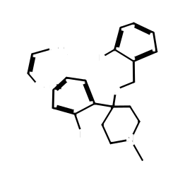 CN1CCC(SCc2ccccc2F)(c2ccccc2F)CC1.O=C(O)/C=C\C(=O)O